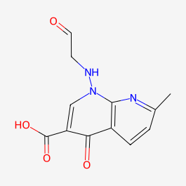 Cc1ccc2c(=O)c(C(=O)O)cn(NCC=O)c2n1